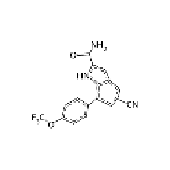 N#Cc1cc(-c2ccc(OC(F)(F)F)cc2)c2[nH]c(C(N)=O)cc2c1